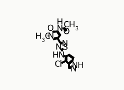 CC(=O)Nc1cc(-c2nsc(Nc3ccc4[nH]ncc4c3Cl)n2)cn(C)c1=O